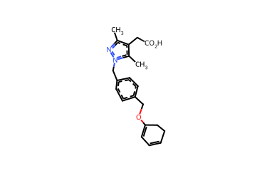 Cc1nn(Cc2ccc(COC3=CC=CCC3)cc2)c(C)c1CC(=O)O